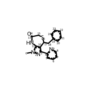 Cn1nc(-c2ccccn2)c2c1NC(=O)CSC2Cc1ccccc1